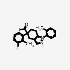 Cc1ccccc1-n1ncc2c1CCC(C(=O)I)(c1cccc(F)c1C)C2